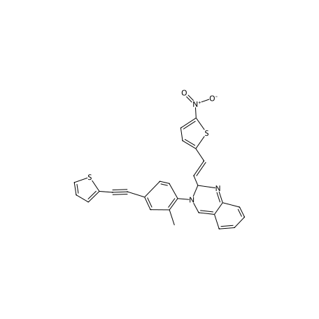 Cc1cc(C#Cc2cccs2)ccc1N1C=c2ccccc2=NC1C=Cc1ccc([N+](=O)[O-])s1